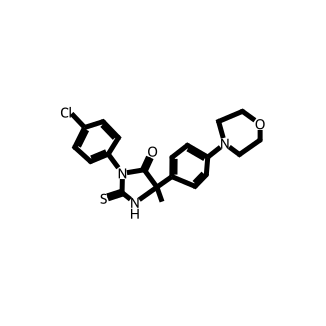 CC1(c2ccc(N3CCOCC3)cc2)NC(=S)N(c2ccc(Cl)cc2)C1=O